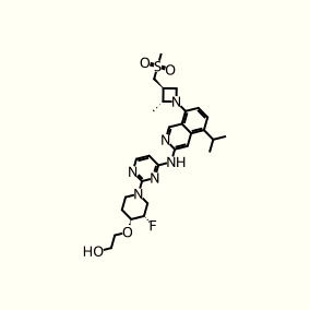 CC(C)c1ccc(N2C[C@H](CS(C)(=O)=O)[C@H]2C)c2cnc(Nc3ccnc(N4CC[C@@H](OCCO)[C@@H](F)C4)n3)cc12